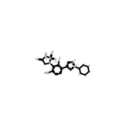 O=C1CN(c2c(O)ccc(-c3cnn(C4CCCCC4)c3)c2F)S(=O)(=O)N1